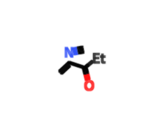 C#N.C=CC(=O)CC